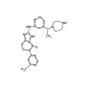 Cc1cc(-c2ccc3nc(Nc4cc(C(C)N5CCNCC5)ccn4)[nH]c3c2F)ncn1